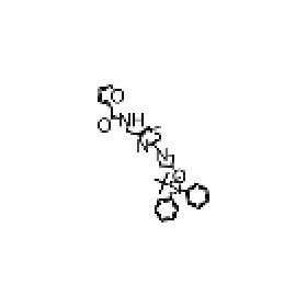 CC(C)(C)[Si](OC1CN(c2nc(CNC(=O)c3ccco3)cs2)C1)(c1ccccc1)c1ccccc1